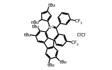 CCCCC1C=C(C(C)(C)C)C=[C]1[Zr+2](=[C](c1cccc(C(F)(F)F)c1)c1cccc(C(F)(F)F)c1)[c]1c2c(cc(C(C)(C)C)c1C(C)(C)C)-c1cc(C(C)(C)C)c(C(C)(C)C)cc1C2.[Cl-].[Cl-]